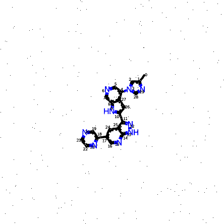 Cc1cn(-c2cncc3[nH]c(-c4n[nH]c5ncc(-c6cnccn6)cc45)cc23)cn1